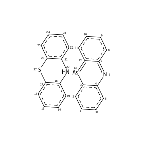 c1ccc2c(c1)N=c1ccccc1=[As]2.c1ccc2c(c1)Nc1ccccc1S2